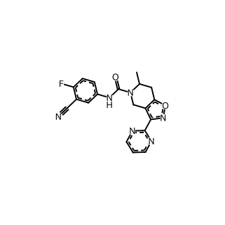 CC1Cc2onc(-c3ncccn3)c2CN1C(=O)Nc1ccc(F)c(C#N)c1